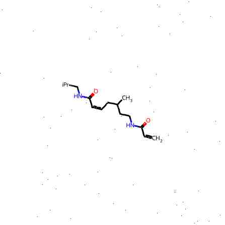 C=CC(=O)NCCC(C)C/C=C\C(=O)NCC(C)C